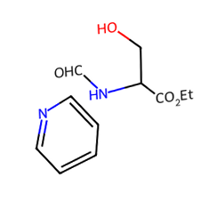 CCOC(=O)C(CO)NC=O.c1ccncc1